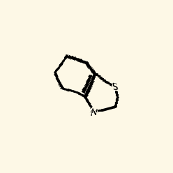 C1CCC2=C(C1)[N]CS2